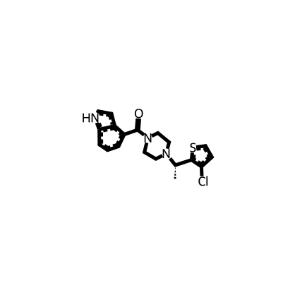 C[C@@H](c1sccc1Cl)N1CCN(C(=O)c2cccc3[nH]ccc23)CC1